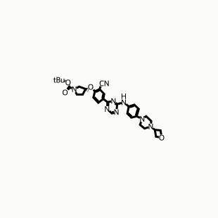 CC(C)(C)OC(=O)N1CC[C@@H](Oc2ccc(-c3ncnc(Nc4ccc(N5CCN(C6COC6)CC5)cc4)n3)cc2C#N)C1